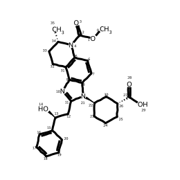 COC(=O)N1c2ccc3c(nc(C[C@H](O)c4ccccc4)n3[C@@H]3CCC[C@@H](C(=O)O)C3)c2CC[C@@H]1C